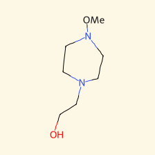 CON1CCN(CCO)CC1